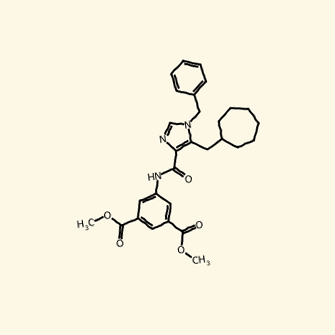 COC(=O)c1cc(NC(=O)c2ncn(Cc3ccccc3)c2CC2CCCCCC2)cc(C(=O)OC)c1